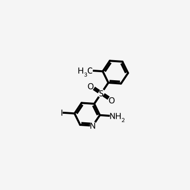 Cc1ccccc1S(=O)(=O)c1cc(I)cnc1N